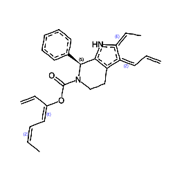 C=C/C=c1/c2c([nH]/c1=C/C)[C@H](c1ccccc1)N(C(=O)O/C(C=C)=C/C=C\C)CC2